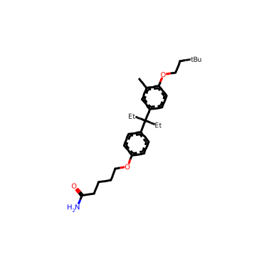 CCC(CC)(c1ccc(OCCCCC(N)=O)cc1)c1ccc(OCCC(C)(C)C)c(C)c1